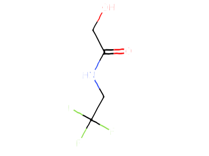 O=C(CO)NCC(F)(F)F